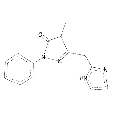 CC1C(=O)N(c2ccccc2)N=C1Cc1ncc[nH]1